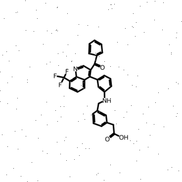 O=C(O)Cc1cccc(CNc2cccc(-c3c(C(=O)c4ccccc4)cnc4c(C(F)(F)F)cccc34)c2)c1